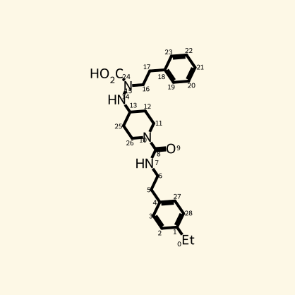 CCc1ccc(CCNC(=O)N2CCC(NN(CCc3ccccc3)C(=O)O)CC2)cc1